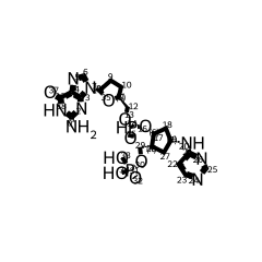 Nc1nc2c(ncn2[C@H]2CC[C@@H](CO[PH](=O)O[C@H]3C[C@H](Nc4ccncn4)C[C@@H]3COP(=O)(O)O)O2)c(=O)[nH]1